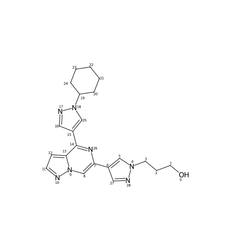 OCCCn1cc(-c2cn3nccc3c(-c3cnn(C4CCCCC4)c3)n2)cn1